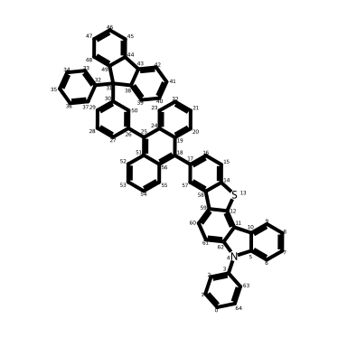 c1ccc(-n2c3ccccc3c3c4sc5ccc(-c6c7ccccc7c(-c7cccc(C8(c9ccccc9)c9ccccc9-c9ccccc98)c7)c7ccccc67)cc5c4ccc32)cc1